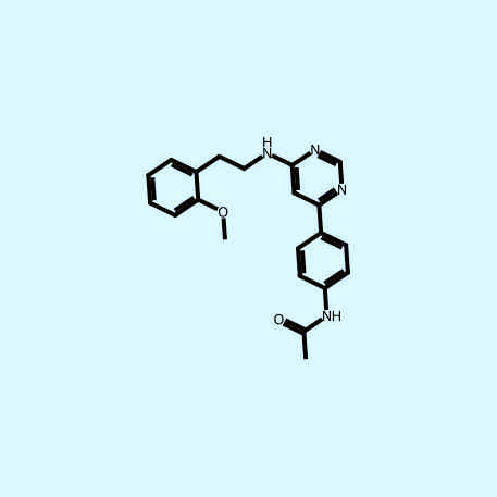 COc1ccccc1CCNc1cc(-c2ccc(NC(C)=O)cc2)ncn1